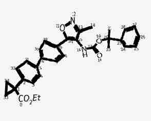 CCOC(=O)C1(c2ccc(-c3ccc(-c4onc(C)c4NC(=O)OC(C)(C)c4ccccc4)cc3)cc2)CC1